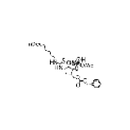 CCCCCCCCCCCCCCCNC(=S)N[C@H]1C[C@H](COC(=O)OCc2ccccc2)C(OP(=O)(O)OC)[C@@H]1OC